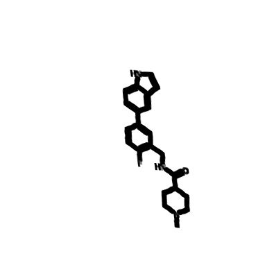 CN1CCC(C(=O)NCc2cc(-c3ccc4[nH]ccc4c3)ccc2F)CC1